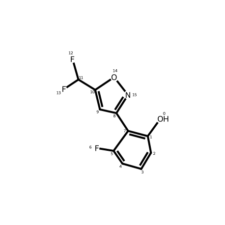 Oc1cccc(F)c1-c1cc(C(F)F)on1